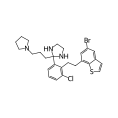 Clc1cccc(C2(CCCN3CCCC3)NCCN2)c1CCc1cc(Br)cc2ccsc12